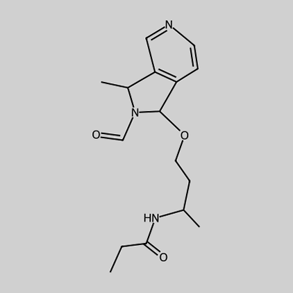 CCC(=O)NC(C)CCOC1c2ccncc2C(C)N1C=O